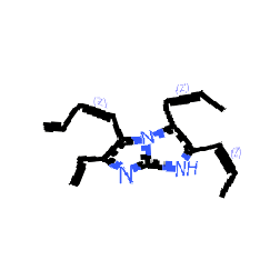 C=C/C=C\c1c(C=C)nc2[nH]c(/C=C\C)c(/C=C\C)n12